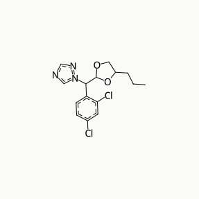 CCCC1COC(C(c2ccc(Cl)cc2Cl)n2cncn2)O1